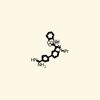 CC(C)n1nc(C(=O)Nc2ccccc2C(=O)O)c2cc(-c3ccc(C(=N)N)cc3)ccc21